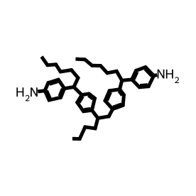 CCCCCCC(c1ccc(N)cc1)c1ccc(CC(CCCC)c2ccc(C(CCCCCC)c3ccc(N)cc3)cc2)cc1